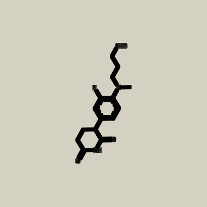 CN(CCCC=O)c1ccc(C2CCC(=O)NC2=O)cc1F